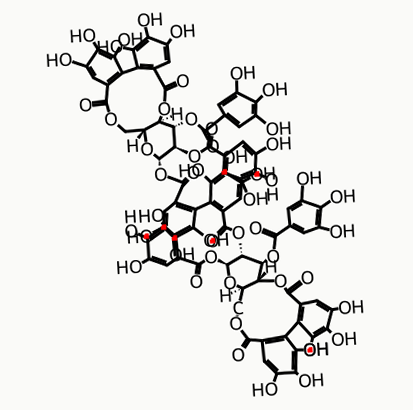 O=C(O[C@@H]1O[C@@H]2COC(=O)c3cc(O)c(O)c(O)c3-c3c(cc(O)c(O)c3O)C(=O)O[C@H]2[C@H](OC(=O)c2cc(O)c(O)c(O)c2)[C@H]1OC(=O)c1cc(O)c(O)c(O)c1-c1c(C(=O)O[C@@H]2O[C@@H]3COC(=O)c4cc(O)c(O)c(O)c4-c4c(cc(O)c(O)c4O)C(=O)O[C@H]3[C@H](OC(=O)c3cc(O)c(O)c(O)c3)[C@H]2OC(=O)c2cc(O)c(O)c(O)c2)cc(O)c(O)c1O)c1cc(O)c(O)c(O)c1